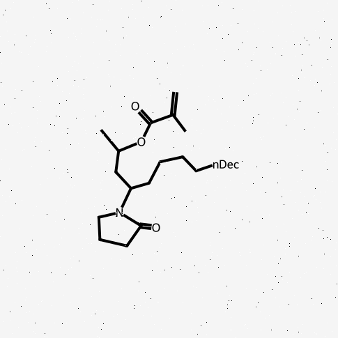 C=C(C)C(=O)OC(C)CC(CCCCCCCCCCCCCC)N1CCCC1=O